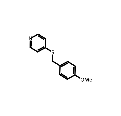 COc1ccc(CSc2ccncc2)cc1